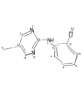 Cc1cnc(Nc2ccccc2Cl)nc1